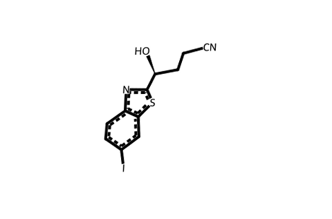 N#CCC[C@H](O)c1nc2ccc(I)cc2s1